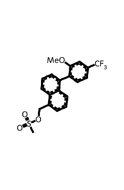 COc1cc(C(F)(F)F)ccc1-c1cccc2c(COS(C)(=O)=O)cccc12